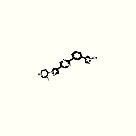 Cn1cc(-c2cccc(-c3ncc(-c4cnn([C@H]5CCNC[C@@H]5F)c4)cn3)c2)cn1